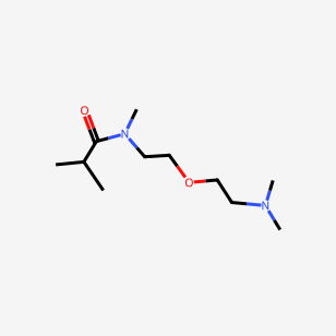 CC(C)C(=O)N(C)CCOCCN(C)C